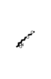 COCCOCCCc1cc(C)on1